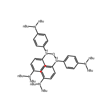 CCCCN(CCCC)c1ccc([SiH](O[SiH](c2ccc(N(CCCC)CCCC)cc2)c2ccc(N(CCCC)CCCC)cc2)c2ccc(N(CCCC)CCCC)cc2)cc1